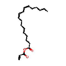 C=CC(=O)OC(=O)CCCCCCC/C=C\C/C=C\CCCCC